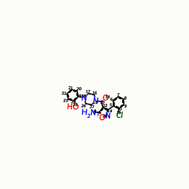 Nc1onc(-c2ccccc2Cl)c1C(=O)N1CCN(c2ccccc2O)CC1